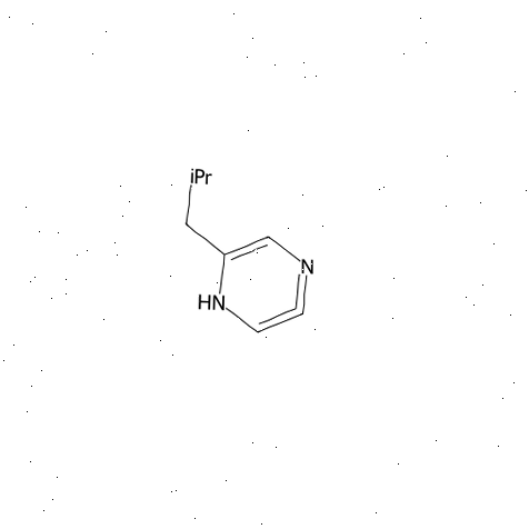 CC(C)CC1=CN=C=CN1